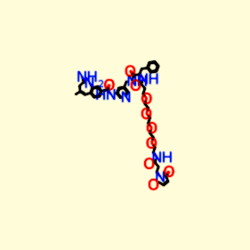 CC1=Cc2ccc(C(=O)Nc3cncc(CNC(=O)C(Cc4ccccc4)NC(=O)CCOCCOCCOCCOCCNC(=O)CCN4C(=O)C=CC4=O)c3)cc2N=C(N)C1